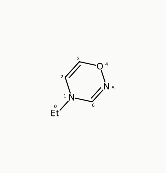 CCN1C=CON=C1